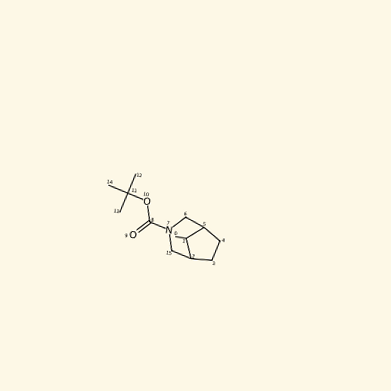 CC1C2CCC1CN(C(=O)OC(C)(C)C)C2